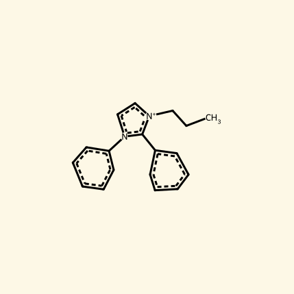 CCC[n+]1ccn(-c2ccccc2)c1-c1ccccc1